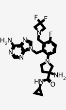 Nc1ncnc2c1ncn2Cc1c(N2CCC(N)(C(=O)NC3CC3)C2)ccc(F)c1CN1CC(F)(F)C1